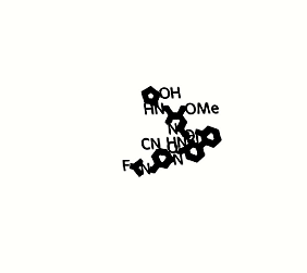 COCc1cc(C(=O)NC2(c3nc4cc(CN5CC(F)C5)cc(C#N)c4o3)C=CC=C(c3ccccc3C)C2Cl)ncc1CN[C@H]1CCC[C@H]1O